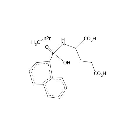 CCCC.O=C(O)CCC(NP(=O)(O)c1cccc2ccccc12)C(=O)O